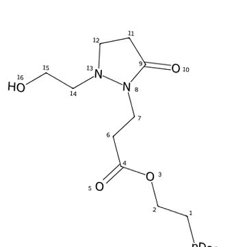 CCCCCCCCCCCCOC(=O)CCN1C(=O)CCN1CCO